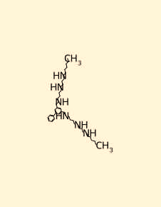 CCCCCCNCCCNCCCCNCc1cc(CNCCCCNCCCNCCCCCC)cc(-c2ccccc2)c1